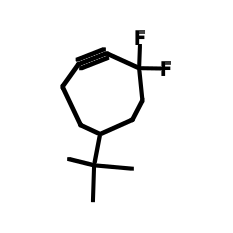 CC(C)(C)C1CCC#CC(F)(F)CC1